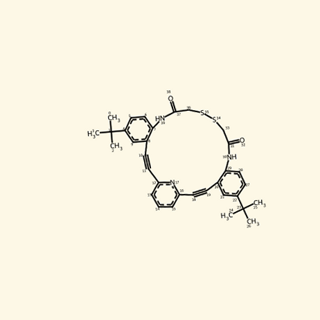 CC(C)(C)c1ccc2c(c1)C#Cc1cccc(n1)C#Cc1cc(C(C)(C)C)ccc1NC(=O)CSSCC(=O)N2